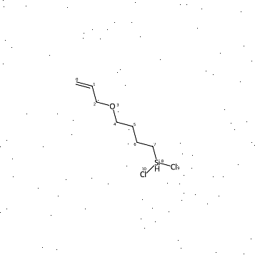 C=CCOCCCC[SiH](Cl)Cl